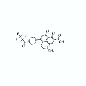 CC1CCc2c(N3CCN(C(=O)C(F)(F)C(F)(F)F)CC3)cc(Cl)c3c(=O)c(C(=O)O)cn1c23